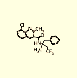 Cc1nc2c(Cl)cccc2cc1C(=O)NC(C)(Cc1ccccc1)CC(F)(F)F